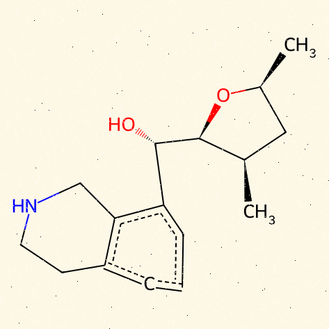 C[C@@H]1C[C@H](C)O[C@@H]1[C@@H](O)c1cccc2c1CNCC2